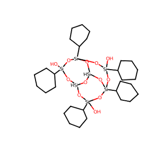 O[Si]1(C2CCCCC2)O[SiH]2O[SiH]3O[Si](C4CCCCC4)(O1)O[Si](O)(C1CCCCC1)O[Si](C1CCCCC1)(O3)O[Si](O)(C1CCCCC1)O2